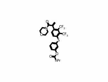 C=C(C(=O)N1CCOCC1)c1ccc(Sc2cccc(OC(=O)CCC)c2)c(C(F)(F)F)c1C(F)(F)F